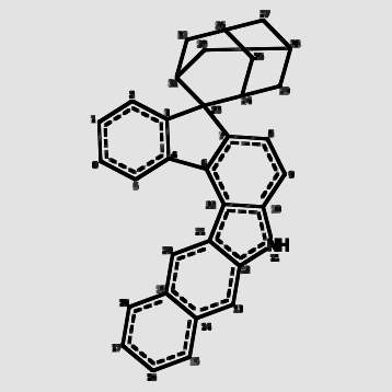 c1ccc2c(c1)-c1c(ccc3[nH]c4cc5ccccc5cc4c13)C21C2CC3CC(C2)CC1C3